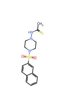 CC(=S)NN1CCN(S(=O)(=O)c2ccc3ccccc3c2)CC1